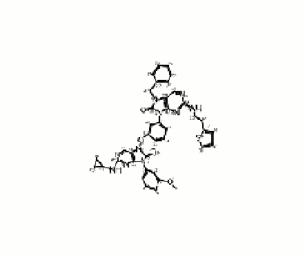 COc1cccc(-n2c(=O)n(Oc3cccc(-n4c(=O)n(Cc5ccccc5)c5cnc(NCCc6cccs6)nc54)c3)c3cnc(NC4CC4)nc32)c1